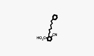 N#Cc1cccc(C(=O)O)c1CCCCCCCc1ccccc1